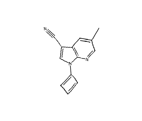 Cc1cnc2c(c1)c(C#N)cn2C1=CC=C1